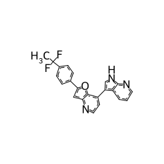 CC(F)(F)c1ccc(-c2cc3nccc(-c4c[nH]c5ncccc45)c3o2)cc1